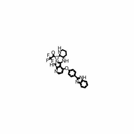 O=C(OC1NCCC[C@H]1Nc1n[nH]c2nccc(Oc3ccc(-c4nc5ccccc5[nH]4)cc3)c12)C(F)(F)F